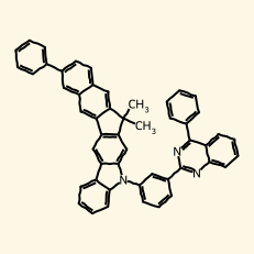 CC1(C)c2cc3ccc(-c4ccccc4)cc3cc2-c2cc3c4ccccc4n(-c4cccc(-c5nc(-c6ccccc6)c6ccccc6n5)c4)c3cc21